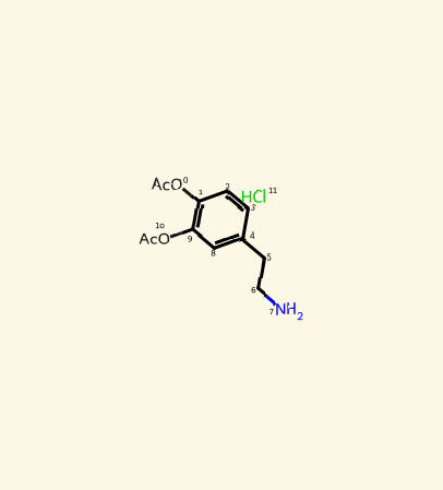 CC(=O)Oc1ccc(CCN)cc1OC(C)=O.Cl